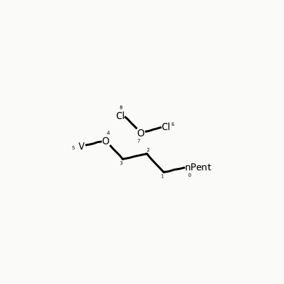 CCCCCCCC[O][V].ClOCl